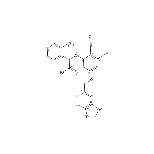 Cc1ccccc1C(Oc1cc(OCc2ccc3c(c2)OCO3)cc(F)c1C#N)C(=O)O